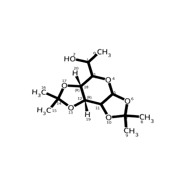 CC(O)C1OC2OC(C)(C)OC2[C@@H]2OC(C)(C)O[C@H]12